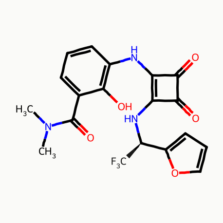 CN(C)C(=O)c1cccc(Nc2c(N[C@@H](c3ccco3)C(F)(F)F)c(=O)c2=O)c1O